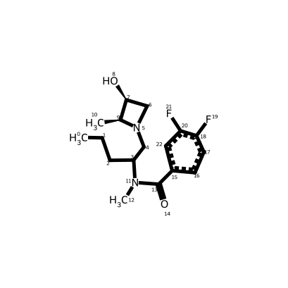 CCCC(CN1C[C@H](O)[C@@H]1C)N(C)C(=O)c1ccc(F)c(F)c1